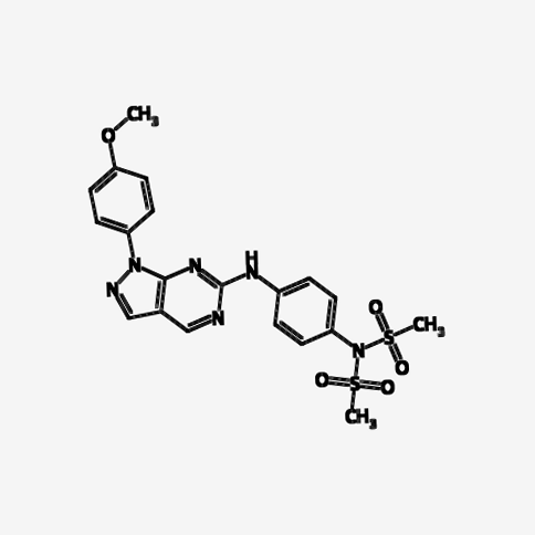 COc1ccc(-n2ncc3cnc(Nc4ccc(N(S(C)(=O)=O)S(C)(=O)=O)cc4)nc32)cc1